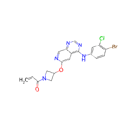 C=CC(=O)N1CC(Oc2cc3c(Nc4ccc(Br)c(Cl)c4)ncnc3cn2)C1